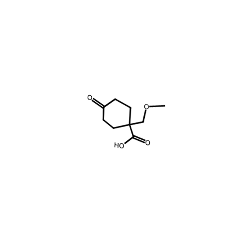 COCC1(C(=O)O)CCC(=O)CC1